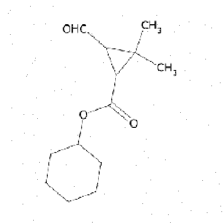 CC1(C)C(C=O)C1C(=O)OC1CCCCC1